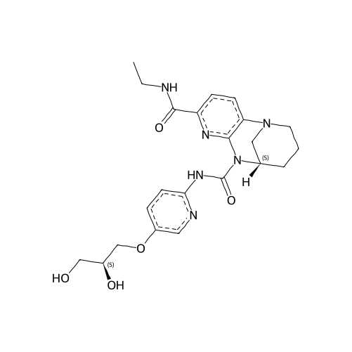 CCNC(=O)c1ccc2c(n1)N(C(=O)Nc1ccc(OC[C@@H](O)CO)cn1)[C@H]1CCCN2C1